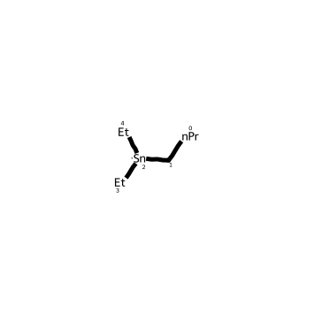 CCC[CH2][Sn]([CH2]C)[CH2]C